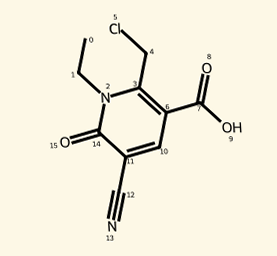 CCn1c(CCl)c(C(=O)O)cc(C#N)c1=O